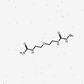 CC(C)(C)NC(=O)NCCOCCNC(N)=O